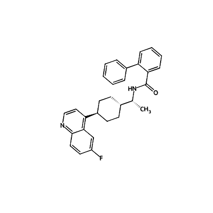 C[C@@H](NC(=O)c1ccccc1-c1ccccc1)[C@H]1CC[C@H](c2ccnc3ccc(F)cc32)CC1